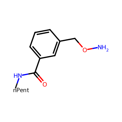 CCCCCNC(=O)c1cccc(CON)c1